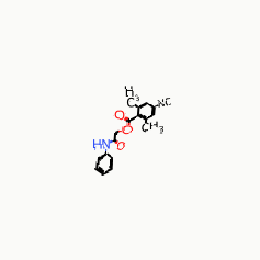 [C-]#[N+]c1cc(C)c(C(=O)OCC(=O)Nc2ccccc2)c(C)c1